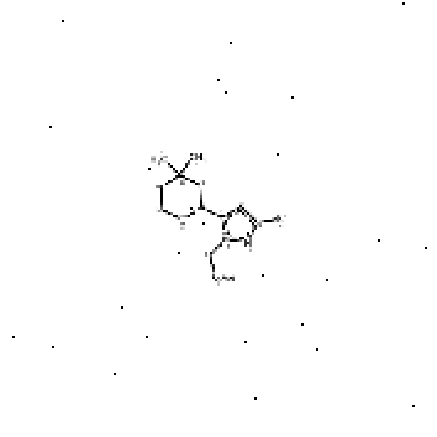 COCn1nc(Br)cc1C1CC(C)(C)CCO1